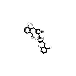 CCc1cccc(C)c1Cc1c[nH]c(-c2nc(Cc3c(F)cccc3Cl)c[nH]2)n1